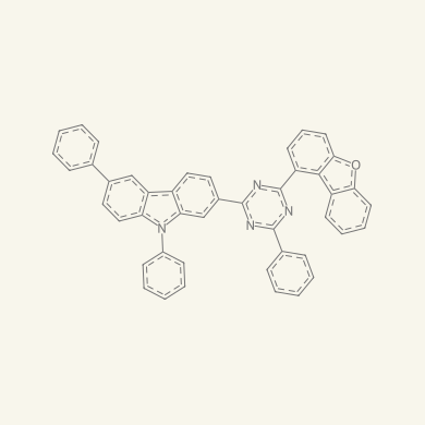 c1ccc(-c2ccc3c(c2)c2ccc(-c4nc(-c5ccccc5)nc(-c5cccc6oc7ccccc7c56)n4)cc2n3-c2ccccc2)cc1